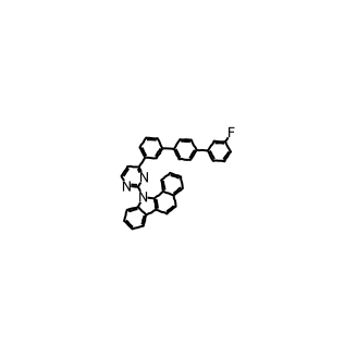 Fc1cccc(-c2ccc(-c3cccc(-c4ccnc(-n5c6ccccc6c6ccc7ccccc7c65)n4)c3)cc2)c1